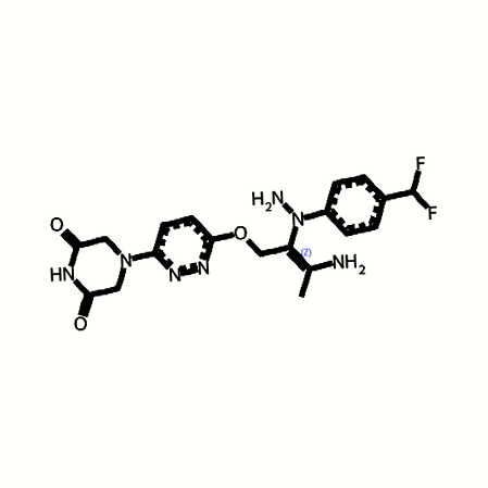 C/C(N)=C(\COc1ccc(N2CC(=O)NC(=O)C2)nn1)N(N)c1ccc(C(F)F)cc1